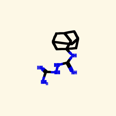 N=C(N)NNC(=N)NC12CC3CC(CC(C3)C1)C2